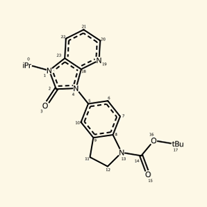 CC(C)n1c(=O)n(-c2ccc3c(c2)CCN3C(=O)OC(C)(C)C)c2ncccc21